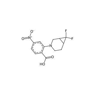 O=C(O)c1ccc([N+](=O)[O-])cc1N1CCC2C(C1)C2(F)F